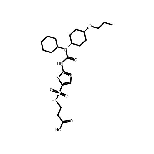 CCCO[C@H]1CC[C@H](N(C(=O)Nc2ncc(S(=O)(=O)NCCC(=O)O)s2)C2CCCCC2)CC1